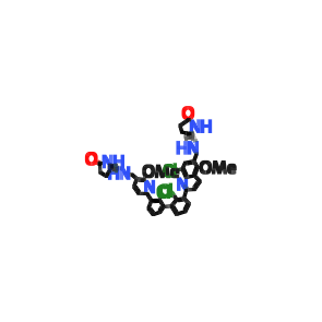 COc1nc(-c2cccc(-c3cccc(-c4ccc5c(OC)c(CNC[C@@H]6CCC(=O)N6)cc(Cl)c5n4)c3Cl)c2Cl)ccc1CNC[C@@H]1CCC(=O)N1